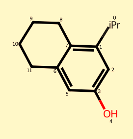 CC(C)c1cc(O)cc2c1CCCC2